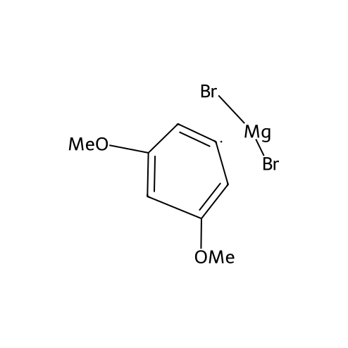 COc1c[c]cc(OC)c1.[Br][Mg][Br]